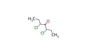 CCC(Cl)C(=O)C(Cl)CC